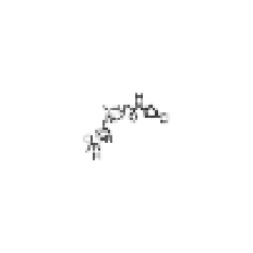 CC(=O)Nc1ncc(CN2CCN(CC(=O)Nc3ccc(Cl)cc3)C[C@@H]2C)s1